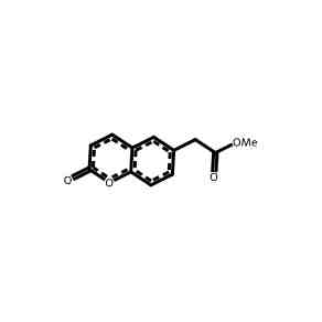 COC(=O)Cc1ccc2oc(=O)ccc2c1